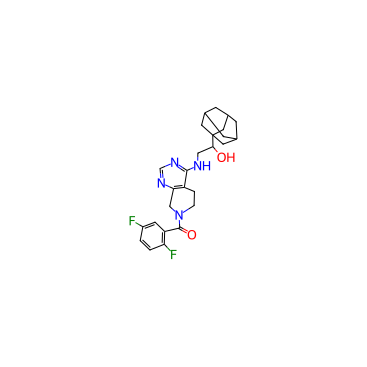 O=C(c1cc(F)ccc1F)N1CCc2c(ncnc2NCC(O)C23CC4CC(CC(C4)C2)C3)C1